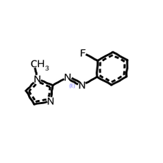 Cn1ccnc1/N=N/c1ccccc1F